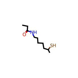 CCC(=O)NCCCCCC(C)S